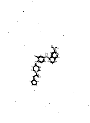 Cc1cc(Nc2ncnc3cnc(N(C)C)cc23)ccc1OC1CCN(C(=O)CC2CCCC2)CC1